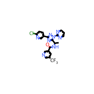 CC(NC(=O)c1cncc(C(F)(F)F)c1)c1nc(-c2ccc(Cl)nc2)nn1-c1ncccn1